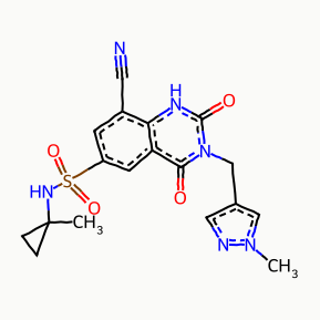 Cn1cc(Cn2c(=O)[nH]c3c(C#N)cc(S(=O)(=O)NC4(C)CC4)cc3c2=O)cn1